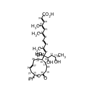 CC(=C\C=C\C(C)=C\[C@](O)([C@H](O)C[C@H](C)O)[C@H]1CCCC(=O)OC(C(C)C)C/C=C/C[C@@H]1C)/C=C(C)/C=C/C(=O)O